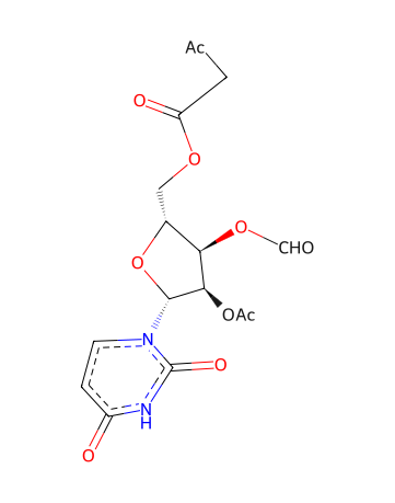 CC(=O)CC(=O)OC[C@H]1O[C@@H](n2ccc(=O)[nH]c2=O)[C@H](OC(C)=O)[C@@H]1OC=O